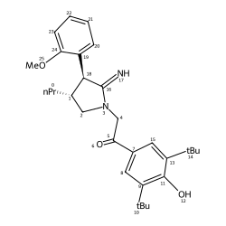 CCC[C@H]1CN(CC(=O)c2cc(C(C)(C)C)c(O)c(C(C)(C)C)c2)C(=N)[C@@H]1c1ccccc1OC